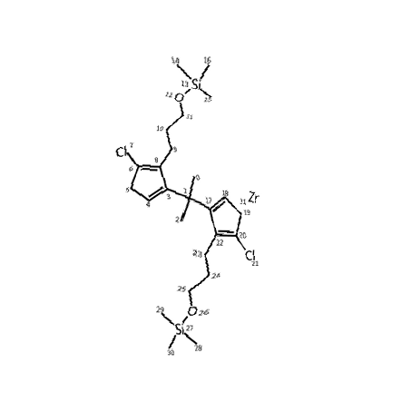 CC(C)(C1=CCC(Cl)=C1CCCO[Si](C)(C)C)C1=CCC(Cl)=C1CCCO[Si](C)(C)C.[Zr]